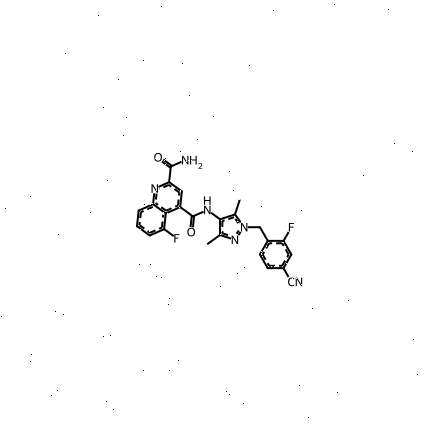 Cc1nn(Cc2ccc(C#N)cc2F)c(C)c1NC(=O)c1cc(C(N)=O)nc2cccc(F)c12